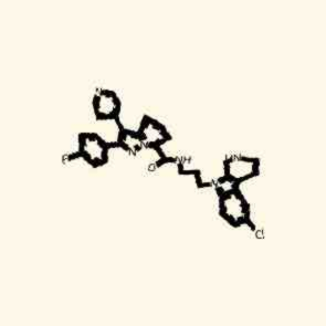 O=C(NCCCn1c2c(c3cc(Cl)ccc31)CCNC2)c1cccc2c(-c3ccncc3)c(-c3ccc(F)cc3)nn12